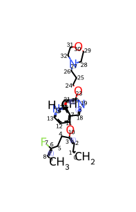 C=C/C=C(\CC/C(F)=C\C)Oc1ccnc(C)c1/C=N\C(=C/C)OCCCN1CCOCC1